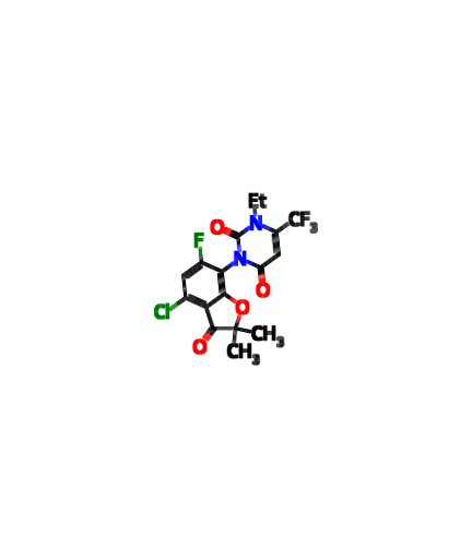 CCn1c(C(F)(F)F)cc(=O)n(-c2c(F)cc(Cl)c3c2OC(C)(C)C3=O)c1=O